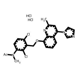 CC(=O)N(C)c1ccc(Cl)c(COc2cccc3c(-n4ccnc4)cc(C)nc23)c1Cl.Cl.Cl